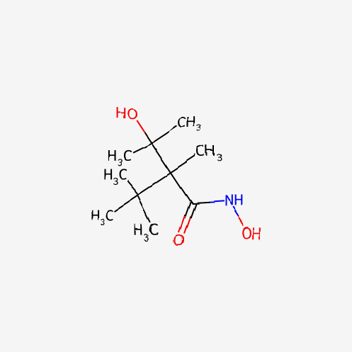 CC(C)(C)C(C)(C(=O)NO)C(C)(C)O